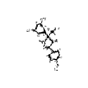 OCc1ccc(C2=NOC(c3cc(Cl)cc(Cl)c3)(C(F)(F)F)C2)cc1